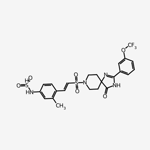 Cc1cc(N[SH](=O)=O)ccc1C=CS(=O)(=O)N1CCC2(CC1)N=C(c1cccc(OC(F)(F)F)c1)NC2=O